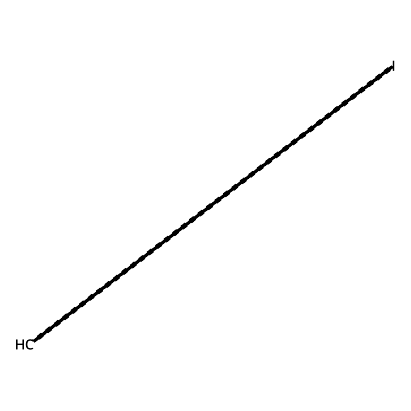 C#CC#CC#CC#CC#CC#CC#CC#CC#CC#CC#CC#CC#CC#CC#CC#CC#CC#CC#CC#CC#CC#CC#CC#CC#CC#CC#CC#CC#CC#CC#CC#CC#CC#CC#CC#CC#CC#CC#CC#CC#CC#CC#CI